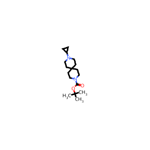 CC(C)(C)OC(=O)N1CCC2(CC1)CCN(C1CC1)CC2